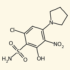 NS(=O)(=O)c1c(Cl)cc(N2CCCC2)c([N+](=O)[O-])c1O